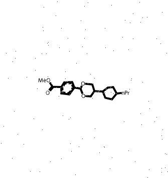 CCCC1CCC(C2COC(c3ccc(C(=O)OC)cc3)OC2)CC1